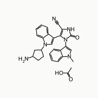 CC(=O)O.Cn1cc(-n2c(-c3cn(C4CCC(N)C4)c4ccccc34)c(C#N)[nH]c2=O)c2ccccc21